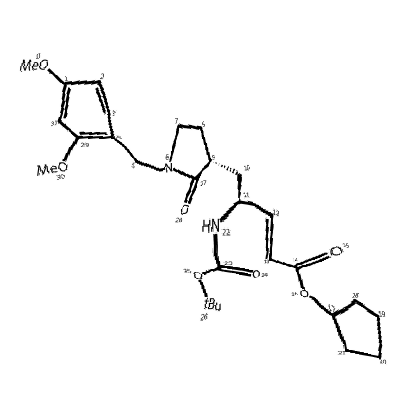 COc1ccc(CN2CC[C@H](C[C@@H](C=CC(=O)OC3CCCC3)NC(=O)OC(C)(C)C)C2=O)c(OC)c1